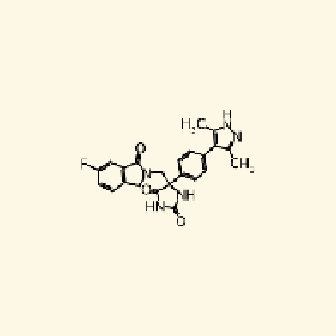 Cc1n[nH]c(C)c1-c1ccc([C@]2(CN3Cc4ccc(F)cc4C3=O)NC(=O)NC2=O)cc1